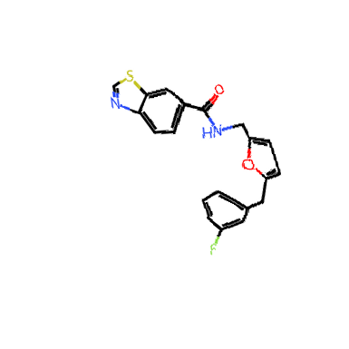 O=C(NCc1ccc(Cc2cccc(F)c2)o1)c1ccc2ncsc2c1